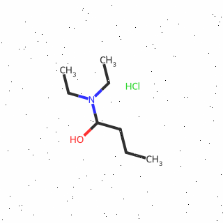 CCCC(O)N(CC)CC.Cl